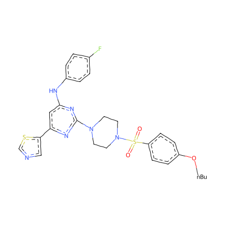 CCCCOc1ccc(S(=O)(=O)N2CCN(c3nc(Nc4ccc(F)cc4)cc(-c4cncs4)n3)CC2)cc1